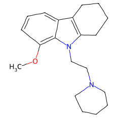 COc1cccc2c3c(n(CCN4CCCCC4)c12)CCCC3